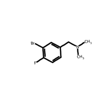 CN(C)Cc1ccc(F)c(Br)c1